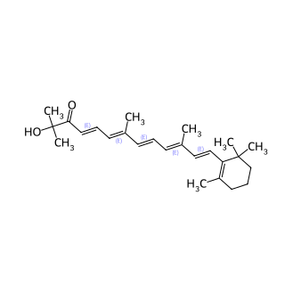 CC1=C(/C=C/C(C)=C/C=C/C(C)=C/C=C/C(=O)C(C)(C)O)C(C)(C)CCC1